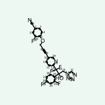 N#Cc1ccc(OCC#Cc2ccc(C(F)(F)C(O)(Cn3cnnn3)c3ccc(F)cc3F)nc2)c(F)c1